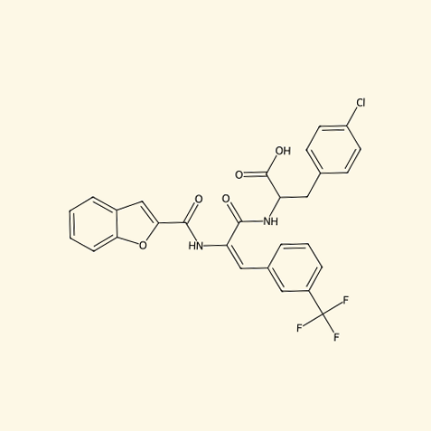 O=C(NC(Cc1ccc(Cl)cc1)C(=O)O)C(=Cc1cccc(C(F)(F)F)c1)NC(=O)c1cc2ccccc2o1